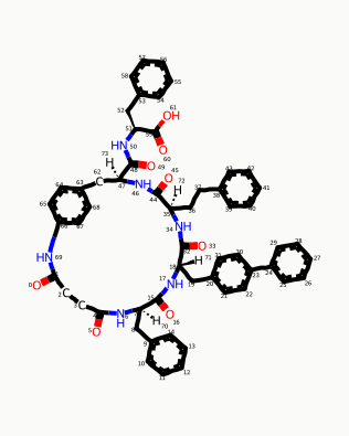 O=C1CCC(=O)N[C@H](Cc2ccccc2)C(=O)N[C@@H](Cc2ccc(-c3ccccc3)cc2)C(=O)N[C@H](CCc2ccccc2)C(=O)N[C@H](C(=O)N[C@@H](Cc2ccccc2)C(=O)O)Cc2ccc(cc2)N1